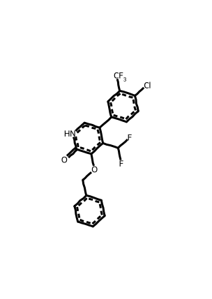 O=c1[nH]cc(-c2ccc(Cl)c(C(F)(F)F)c2)c(C(F)F)c1OCc1ccccc1